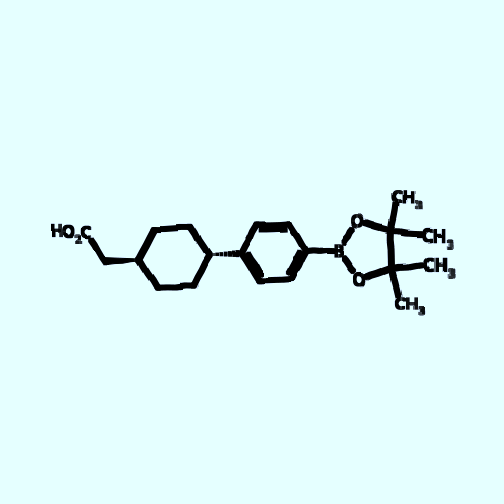 CC1(C)OB(c2ccc([C@H]3CC[C@H](CC(=O)O)CC3)cc2)OC1(C)C